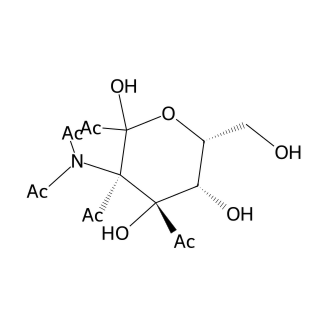 CC(=O)N(C(C)=O)[C@@]1(C(C)=O)C(O)(C(C)=O)O[C@H](CO)[C@H](O)[C@@]1(O)C(C)=O